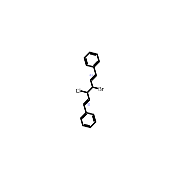 ClC(/C=C/c1ccccc1)C(Br)/C=C/c1ccccc1